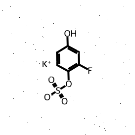 O=S(=O)([O-])Oc1ccc(O)cc1F.[K+]